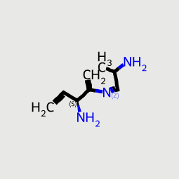 C=C[C@H](N)C(=C)/N=C\C(C)N